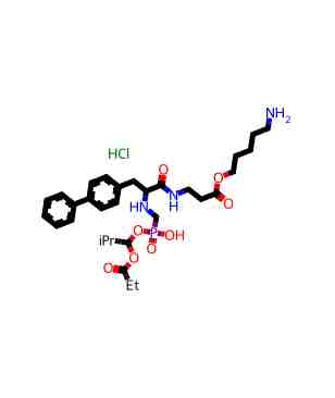 CCC(=O)OC(OP(=O)(O)CNC(Cc1ccc(-c2ccccc2)cc1)C(=O)NCCC(=O)OCCCCCN)C(C)C.Cl